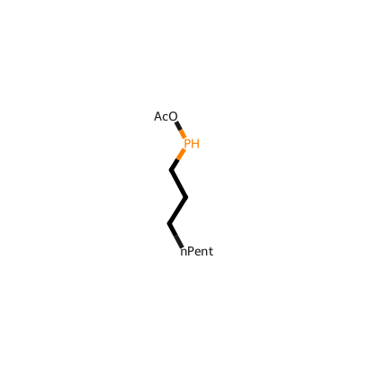 CCCCCCCCPOC(C)=O